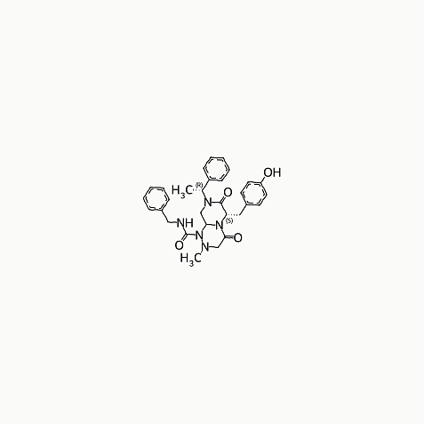 C[C@H](c1ccccc1)N1CC2N(C(=O)CN(C)N2C(=O)NCc2ccccc2)[C@@H](Cc2ccc(O)cc2)C1=O